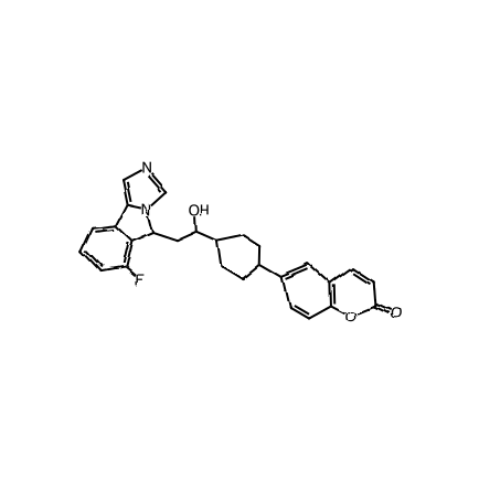 O=c1ccc2cc(C3CCC(C(O)CC4c5c(F)cccc5-c5cncn54)CC3)ccc2o1